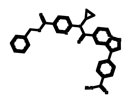 CNC(=O)c1ccc(-c2cnn3ccc(C(=O)N(c4ccc(C(=O)OCc5ccccc5)cn4)C4CC4)cc23)cc1